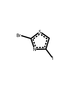 Brc1nc(I)cs1